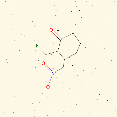 O=C1CCCC(C[N+](=O)[O-])C1CF